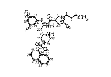 CCCCN1CC(C(=O)NC(Cc2cc(F)cc(F)c2)C[C@H]2CN(S(=O)(=O)c3cccc4ccccc34)CCN2)CC1=O